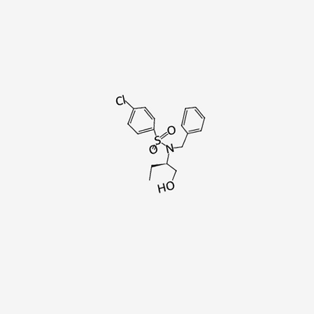 CC[C@H](CO)N(Cc1ccccc1)S(=O)(=O)c1ccc(Cl)cc1